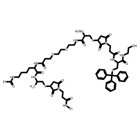 CCNC(=O)CCN1C(=O)CC(SCC(C)NC(=O)C(CCCCNC(=O)CC)NC(=O)CCOCCOCCNC(=O)C(CSC2CC(=O)N(CCC(=O)NC(CSC(c3ccccc3)(c3ccccc3)c3ccccc3)C(=O)NCCO)C2=O)NC(C)=O)C1=O